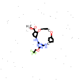 COC(=O)c1ccc2cc1OCC=CCOc1ccc(cc1)CNc1nc(nc(OCC(F)(F)F)n1)N2